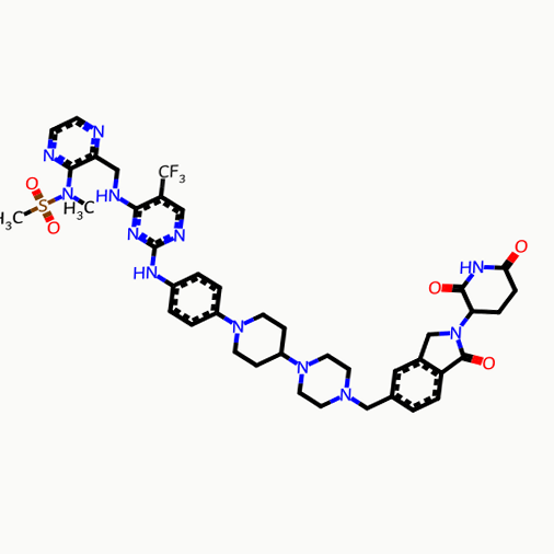 CN(c1nccnc1CNc1nc(Nc2ccc(N3CCC(N4CCN(Cc5ccc6c(c5)CN(C5CCC(=O)NC5=O)C6=O)CC4)CC3)cc2)ncc1C(F)(F)F)S(C)(=O)=O